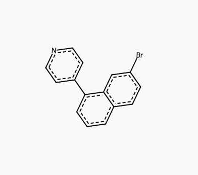 Brc1ccc2cccc(-c3ccncc3)c2c1